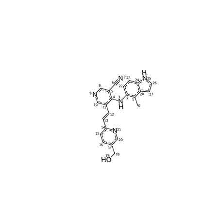 Cc1c(Nc2c(C#N)cncc2C=Cc2ccc(CO)cn2)ccc2[nH]ccc12